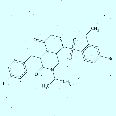 CCc1cc(Br)ccc1S(=O)(=O)N1CCC(=O)N2C(Cc3ccc(F)cc3)C(=O)N(C(C)C)CC21